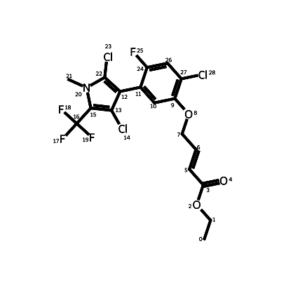 CCOC(=O)C=CCOc1cc(-c2c(Cl)c(C(F)(F)F)n(C)c2Cl)c(F)cc1Cl